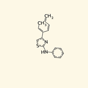 C=C/C=C\C(=C/C)c1csc(Nc2ccccc2)n1